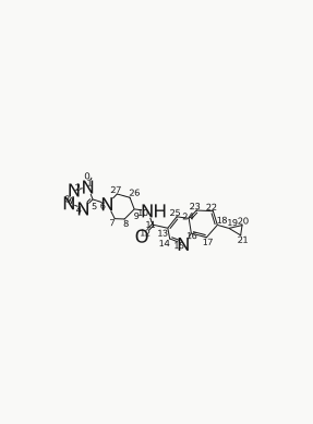 Cn1nnnc1N1CCC(NC(=O)c2cnc3cc(C4CC4)ccc3c2)CC1